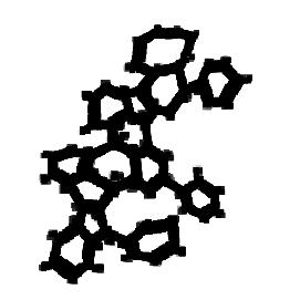 C1=C\CCC2=C(\N=C/1)c1c(n3c4c(cccc14)B1c4c-3cc(-c3ccccn3)cc4-n3c4c1ccnc4c1c4nccnc4n(-c4ccccc4)c13)CC2c1ccccc1